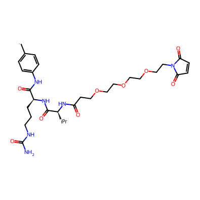 [CH2]c1ccc(NC(=O)[C@H](CCCNC(N)=O)NC(=O)[C@@H](NC(=O)CCOCCOCCOCCN2C(=O)C=CC2=O)C(C)C)cc1